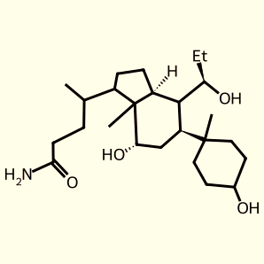 CC[C@@H](O)C1[C@@H](C2(C)CCC(O)CC2)C[C@H](O)C2(C)C(C(C)CCC(N)=O)CC[C@@H]12